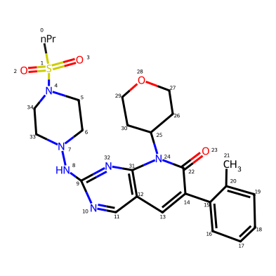 CCCS(=O)(=O)N1CCN(Nc2ncc3cc(-c4ccccc4C)c(=O)n(C4CCOCC4)c3n2)CC1